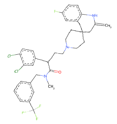 C=C1CC2(CCN(CCC(C(=O)N(C)Cc3cccc(C(F)(F)F)c3)c3ccc(Cl)c(Cl)c3)CC2)c2cc(F)ccc2N1